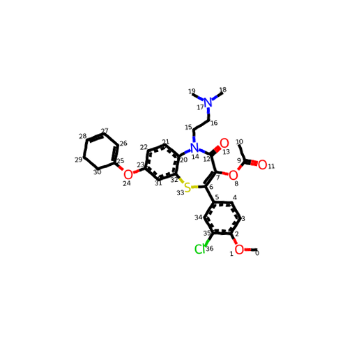 COc1ccc(C2=C(OC(C)=O)C(=O)N(CCN(C)C)c3ccc(OC4=CC=CCC4)cc3S2)cc1Cl